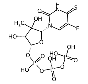 CC1(O)[C@@H](O)[C@@H](OP(=O)(O)OP(=O)(O)OP(=O)(O)O)O[C@H]1n1cc(F)c(=S)[nH]c1=O